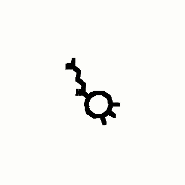 CNCCCNC1CCCC(C)C(C)C(C)CCC1